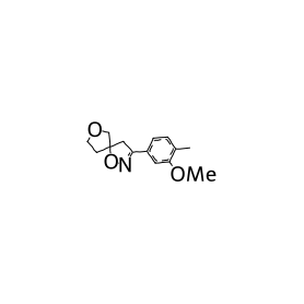 COc1cc(C2=NOC3(CCOC3)C2)ccc1C